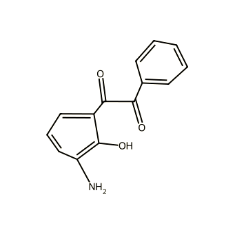 Nc1cccc(C(=O)C(=O)c2ccccc2)c1O